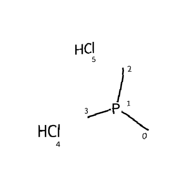 CP(C)C.Cl.Cl